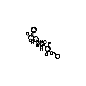 O=C(NS(=O)(=O)N1CCC2[C@@H](C1)OCC(=O)N2c1ccccc1)c1cc(Cl)c(OCC2CCCC2)cc1F